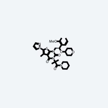 C/C=C\C(=C(/C)OC)[C@H](Cn1c(=O)n(C(C)(C)C(=O)N2CCCCC2)c(=O)c2c(C)c(-n3cccn3)sc21)OC1CCOCC1